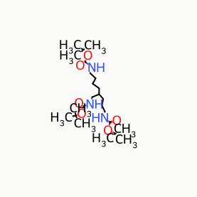 CC(C)(C)OC(=O)NCCCCC(CCCNC(=O)OC(C)(C)C)CNC(=O)OC(C)(C)C